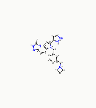 Cc1nnc2ccc3c(cc(-c4cc[nH]n4)n3Cc3cccc(CN4CCC4)c3)n12